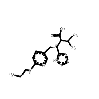 CC(C)C(C(=O)O)[C@H](Cc1ccc(NCCN)nc1)c1nnn[nH]1